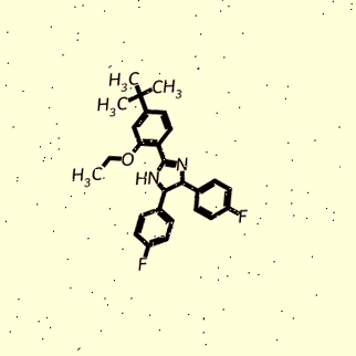 CCOc1cc(C(C)(C)C)ccc1C1=NC(c2ccc(F)cc2)C(c2ccc(F)cc2)N1